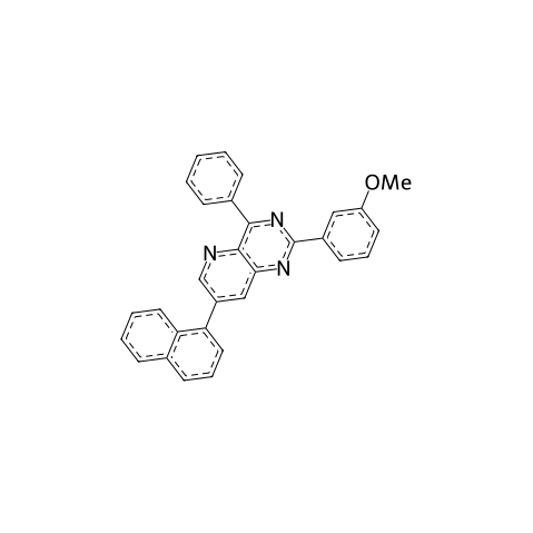 COc1cccc(-c2nc(-c3ccccc3)c3ncc(-c4cccc5ccccc45)cc3n2)c1